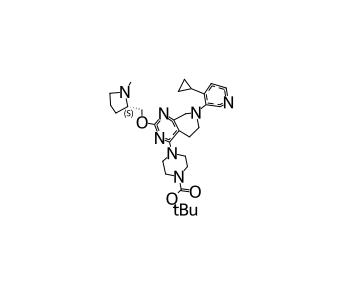 CN1CCC[C@H]1COc1nc2c(c(N3CCN(C(=O)OC(C)(C)C)CC3)n1)CCN(c1cnccc1C1CC1)C2